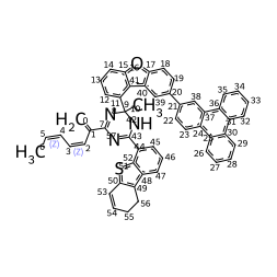 C=C(/C=C\C=C/C)C1=NC(C)(c2cccc3oc4ccc(-c5ccc6c7ccccc7c7ccccc7c6c5)cc4c23)NC(c2cccc3c4c(sc23)C=CCC4)=N1